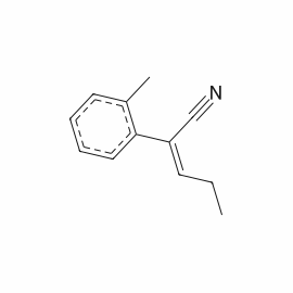 CCC=C(C#N)c1ccccc1C